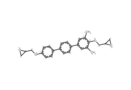 Cc1cc(-c2ccc(-c3ccc(OCC4CO4)cc3)cc2)cc(C)c1OCC1CO1